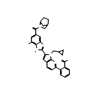 COc1cc(C(=O)N2CC3CCC2C3)cc2nc(-c3cc4ccc(-c5ccccc5C(N)=O)nc4n3CC3CC3)n(C)c12